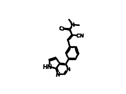 CN(C)C(=O)/C(C#N)=C/c1cccc(-c2ncnc3[nH]ccc23)c1